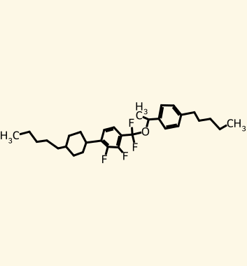 CCCCCc1ccc(C(C)OC(F)(F)c2ccc(C3CCC(CCCCC)CC3)c(F)c2F)cc1